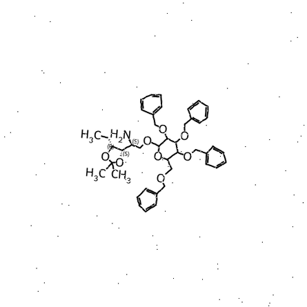 CC[C@H]1OC(C)(C)O[C@H]1[C@@H](N)COC1OC(COCc2ccccc2)C(OCc2ccccc2)C(OCc2ccccc2)C1OCc1ccccc1